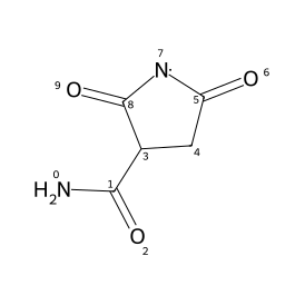 NC(=O)C1CC(=O)[N]C1=O